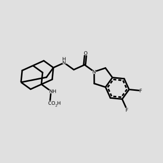 O=C(O)NC12CC3CC(CC(NCC(=O)N4Cc5cc(F)c(F)cc5C4)(C3)C1)C2